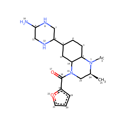 CC(=O)N1C2CCC(C3CNC(N)CN3)CC2N(C(=O)c2ccco2)C[C@@H]1C